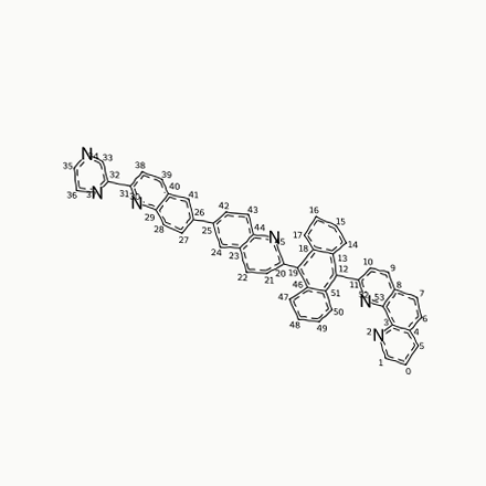 c1cnc2c(c1)ccc1ccc(-c3c4ccccc4c(-c4ccc5cc(-c6ccc7nc(-c8cnccn8)ccc7c6)ccc5n4)c4ccccc34)nc12